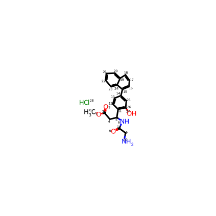 COC(=O)CC(NC(=O)CN)c1ccc(-c2cccc3ccccc23)cc1O.Cl